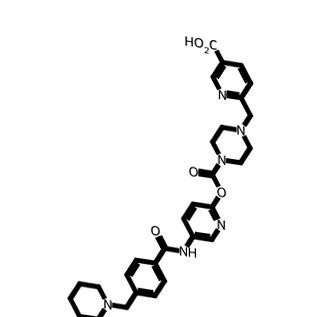 O=C(O)c1ccc(CN2CCN(C(=O)Oc3ccc(NC(=O)c4ccc(CN5CCCCC5)cc4)cn3)CC2)nc1